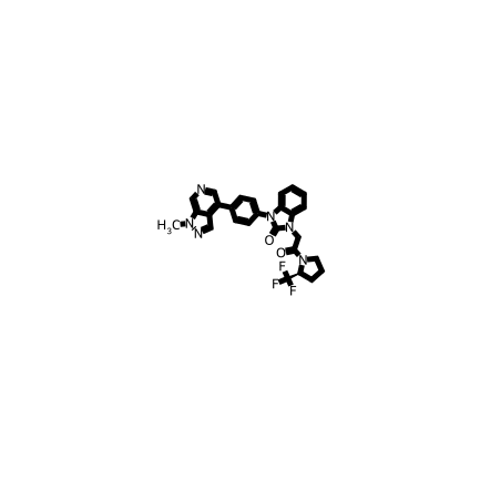 Cn1ncc2c(-c3ccc(-n4c(=O)n(CC(=O)N5CCC[C@H]5C(F)(F)F)c5ccccc54)cc3)cncc21